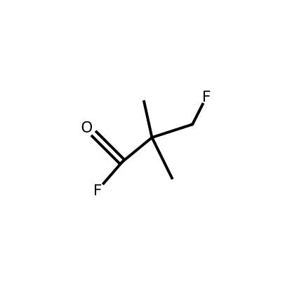 CC(C)(CF)C(=O)F